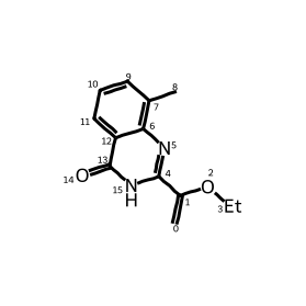 C=C(OCC)c1nc2c(C)cccc2c(=O)[nH]1